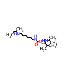 CCC(C)NCCCCCCNC(=O)OC[C@H](NC(C)C)C(C)C